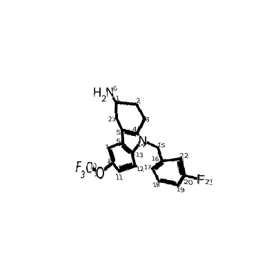 NC1CCc2c(c3cc(OC(F)(F)F)ccc3n2Cc2cccc(F)c2)C1